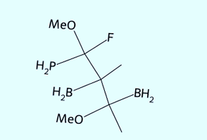 BC(C)(OC)C(B)(C)C(F)(P)OC